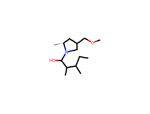 CCC(C)C(C)C(O)N1CC(COC)C[C@H]1C